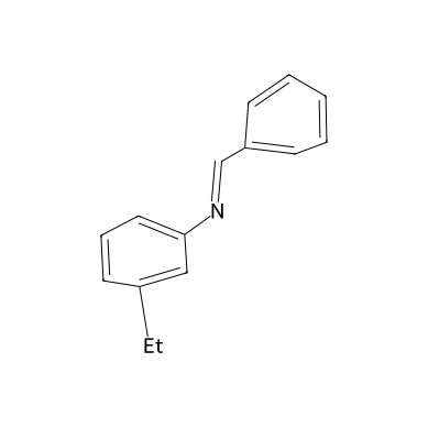 CCc1cccc(/N=C/c2ccccc2)c1